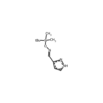 CC(C)(C)[Si](C)(C)O/N=C/c1cc[nH]n1